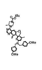 COc1ccc(CN(Cc2ccc(OC)cc2)c2cc(C)c(I)c(-c3c(Cl)cc4c(N5CCN(C(=O)OC(C)(C)C)C[C@@H]5C)ncnc4c3F)n2)cc1